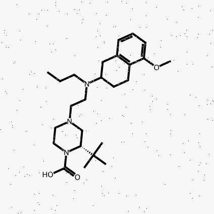 CCCN(CCN1CCN(C(=O)O)[C@@H](C(C)(C)C)C1)C1CCc2c(cccc2OC)C1